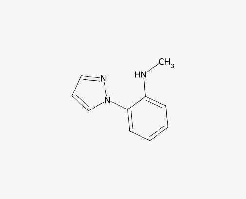 CNc1ccccc1-n1cccn1